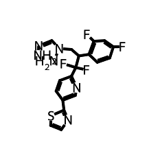 N/N=C\N(N)CC(c1ccc(F)cc1F)C(F)(F)c1ccc(-c2nccs2)cn1